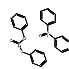 O=[PH](Oc1ccccc1)Oc1ccccc1.O=[PH](c1ccccc1)c1ccccc1